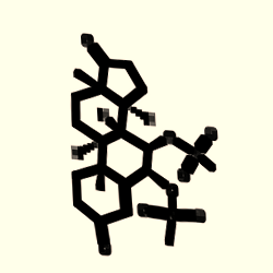 C[C@]12CCC(=O)C=C1[C@H](OS(C)(=O)=O)[C@H](OS(C)(=O)=O)[C@@H]1[C@@H]2CC[C@]2(C)C(=O)CC[C@@H]12